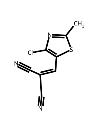 Cc1nc(Cl)c(C=C(C#N)C#N)s1